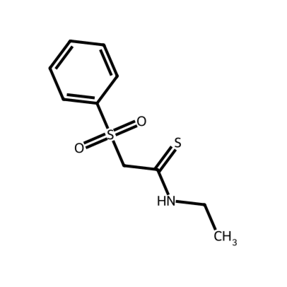 CCNC(=S)CS(=O)(=O)c1ccccc1